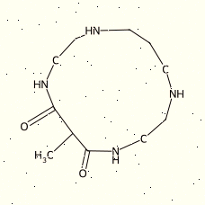 CC1C(=O)NCCNCCCNCCNC1=O